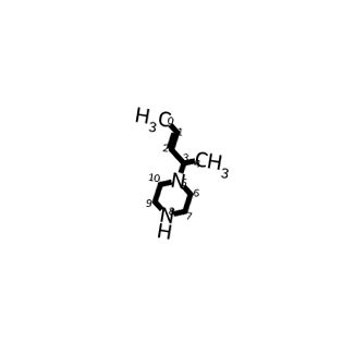 CC=CC(C)N1CCNCC1